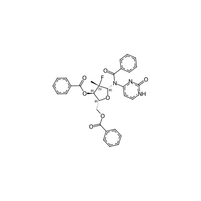 C[C@]1(F)[C@H](OC(=O)c2ccccc2)[C@@H](COC(=O)c2ccccc2)O[C@H]1N(C(=O)c1ccccc1)c1cc[nH]c(=O)n1